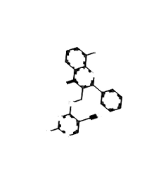 N#Cc1cnc(N)nc1NCc1c(-c2ccccc2)[nH]c2c(F)cccc2c1=O